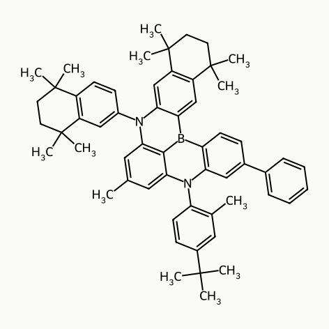 Cc1cc2c3c(c1)N(c1ccc(C(C)(C)C)cc1C)c1cc(-c4ccccc4)ccc1B3c1cc3c(cc1N2c1ccc2c(c1)C(C)(C)CCC2(C)C)C(C)(C)CCC3(C)C